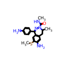 CNC(=O)N1N=C(c2ccc(N)cc2)c2cc(SC)c(N)cc2CC1C